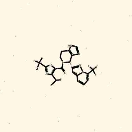 CC(C)(F)c1nc(C(F)F)c(C(=O)N2CCc3[nH]cnc3[C@@H]2c2cc3cccc(C(F)(F)F)n3n2)o1